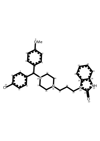 COc1ccc(C(c2ccc(Cl)cc2)N2CCN(CCCn3c(=O)[nH]c4ccccc43)CC2)cc1